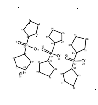 O=P([O-])(C1CCCC1)C1CCCC1.O=P([O-])(C1CCCC1)C1CCCC1.O=P([O-])(C1CCCC1)C1CCCC1.[Al+3]